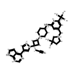 N#CC[C@]1(n2cc(-c3ncnc4[nH]ccc34)cn2)C[C@@H](N2CCC(Nc3cc(CN4CCC(F)(F)C4)cc(C(F)(F)F)n3)CC2)C1